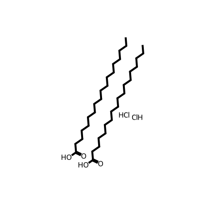 CCCCCCCCCCCCCCCCCC(=O)O.CCCCCCCCCCCCCCCCCC(=O)O.Cl.Cl